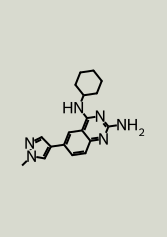 Cn1cc(-c2ccc3nc(N)nc(NC4CCCCC4)c3c2)cn1